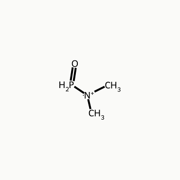 C[N+](C)[PH2]=O